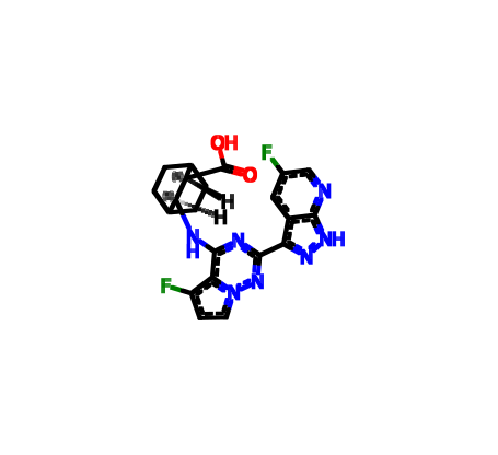 O=C(O)[C@H]1C2CCC(CC2)[C@@H]1Nc1nc(-c2n[nH]c3ncc(F)cc23)nn2ccc(F)c12